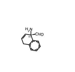 N[C@@]1(C=O)C=CCc2ccccc21